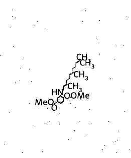 COCOc1ccc(C(=O)OC)cc1NC/C=C(\C)CC/C=C(\C)CCC=C(C)C